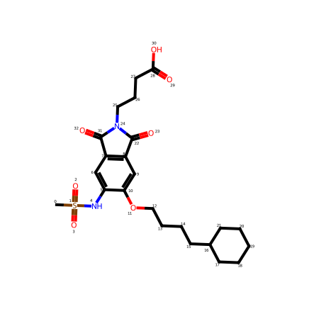 CS(=O)(=O)Nc1cc2c(cc1OCCCCC1CCCCC1)C(=O)N(CCCC(=O)O)C2=O